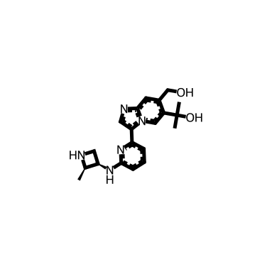 C[C@H]1NC[C@H]1Nc1cccc(-c2cnc3cc(CO)c(C(C)(C)O)cn23)n1